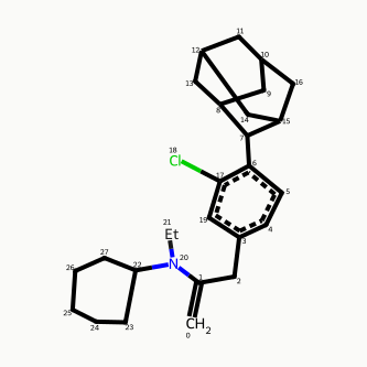 C=C(Cc1ccc(C2C3CC4CC(C3)CC2C4)c(Cl)c1)N(CC)C1CCCCC1